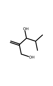 C=C(CO)C(O)C(C)C